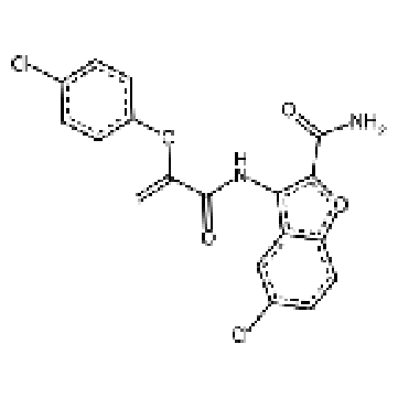 C=C(Oc1ccc(Cl)cc1)C(=O)Nc1c(C(N)=O)oc2ccc(Cl)cc12